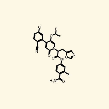 N#Cc1ccc(Cl)cc1-c1cc(=O)n(C(Cc2cnco2)C(=O)Nc2ccc(C(N)=O)c(F)c2)cc1OC(F)F